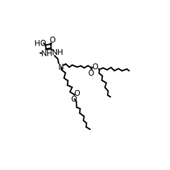 CCCCCCCCCOC(=O)CCCCCCCN(CCCCCCCC(=O)OC(CCCCCCCC)CCCCCCCC)CCCNC1=C(NC)C(O)C1=O